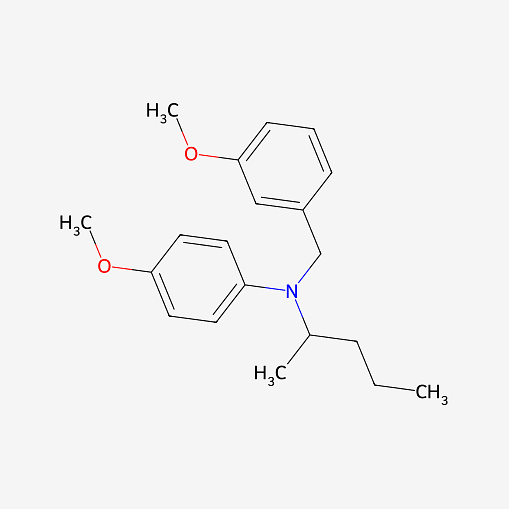 CCCC(C)N(Cc1cccc(OC)c1)c1ccc(OC)cc1